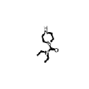 CCN(CC)C(=O)N1CCNCC1